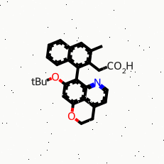 Cc1cc2ccccc2c(-c2c(OC(C)(C)C)cc3c4c(ccnc24)CCO3)c1CC(=O)O